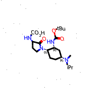 CC(C)N(C)[C@@H]1CC[C@H](N2CCC(NC(=O)O)C2=O)[C@H](NC(=O)OC(C)(C)C)C1